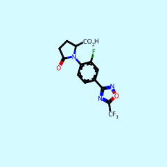 O=C(O)C1CCC(=O)N1c1ccc(-c2noc(C(F)(F)F)n2)cc1F